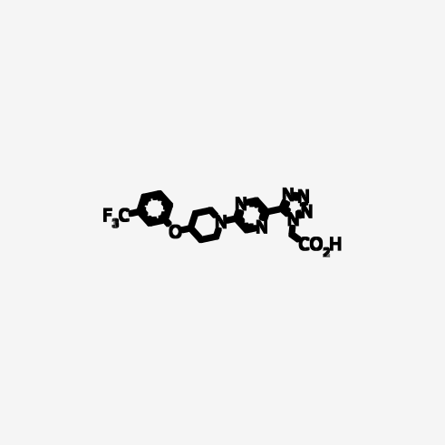 O=C(O)Cn1nnnc1-c1cnc(N2CCC(Oc3cccc(C(F)(F)F)c3)CC2)cn1